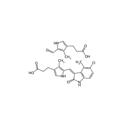 Cc1c(CCC(=O)O)c[nH]c1/C=C1\C(=O)Nc2ccc(Cl)c(C)c21.Cc1c(CCC(=O)O)c[nH]c1C=O